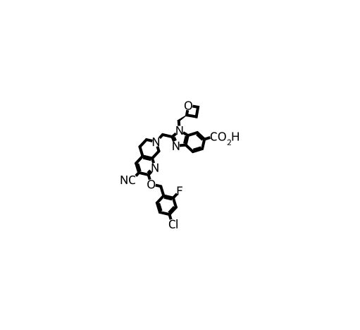 N#Cc1cc2c(nc1OCc1ccc(Cl)cc1F)CN(Cc1nc3ccc(C(=O)O)cc3n1C[C@@H]1CCO1)CC2